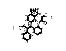 C=CC(=O)Oc1ccccc1/C(=C(/CC)c1ccccc1)c1ccc2[nH]ncc2n1